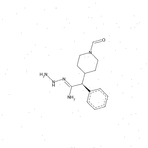 NN/N=C(\N)[C@H](c1ccccc1)C1CCN(C=O)CC1